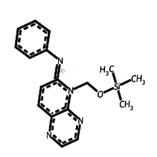 C[Si](C)(C)OCn1/c(=N/c2ccccc2)ccc2nccnc21